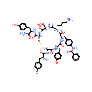 C[C@@H](O)[C@@H]1NC(=O)[C@H](CCCCN)NC(=O)[C@@H](Cc2ccc(NC(=O)c3ccccc3)cc2)NC(=O)[C@H](Cc2ccc(O)cc2)NC(=O)[C@H](NC(=O)[C@@H](N)Cc2ccc(Cl)cc2)CSSC[C@@H](C(=O)NC(Cc2ccc(O)cc2)C(N)=O)NC1=O